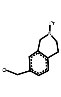 CC(C)N1CCc2ccc(CCl)cc2C1